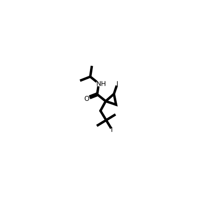 CC(C)NC(=O)C1(CC(C)(C)I)CC1I